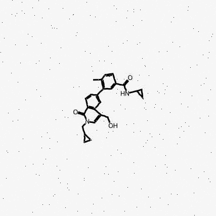 Cc1ccc(C(=O)NC2CC2)cc1-c1ccc2c(=O)n(CC3CC3)cc(CO)c2c1